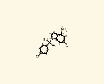 CCC(C(C)=O)(c1ccc(Cl)cc1)n1ccc2c(N)cc(F)cc21